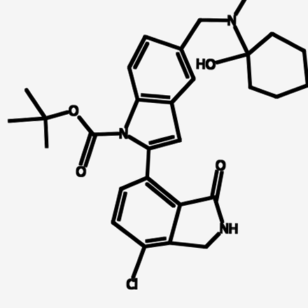 CN(Cc1ccc2c(c1)cc(-c1ccc(Cl)c3c1C(=O)NC3)n2C(=O)OC(C)(C)C)C1(O)CCCCC1